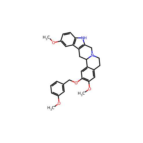 COc1cccc(COc2cc3c(cc2OC)CCN2Cc4[nH]c5ccc(OC)cc5c4CC32)c1